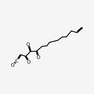 C=CCCCCCCCC(=O)C(=O)C(=O)C=C=O